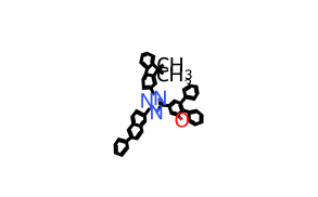 CC1(C)c2ccccc2-c2ccc(-c3nc(-c4ccc5cc(-c6ccccc6)ccc5c4)nc(-c4cc(-c5ccccc5)c5c(c4)oc4ccccc45)n3)cc21